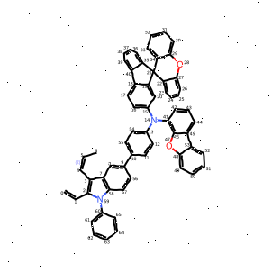 C=Cc1c(/C=C\C)c2cc(-c3ccc(N(c4ccc5c(c4)C4(c6ccccc6Oc6ccccc64)c4ccccc4-5)c4cccc5c4oc4ccccc45)cc3)ccc2n1-c1ccccc1